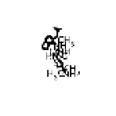 C[C@H](c1ccc2c(c1NC(=O)N[S@@](=N)(=O)c1cc(C(C)(C)O)cs1)CCC2)C1CC1